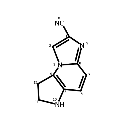 N#Cc1cn2c3c(ccc2n1)NCC3